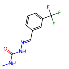 CNC(=O)N/N=C/c1cccc(C(F)(F)F)c1